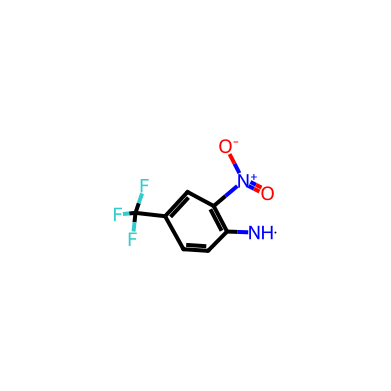 [NH]c1ccc(C(F)(F)F)cc1[N+](=O)[O-]